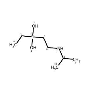 CC[Si](O)(O)CCNC(C)C